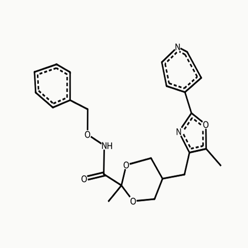 Cc1oc(-c2ccncc2)nc1CC1COC(C)(C(=O)NOCc2ccccc2)OC1